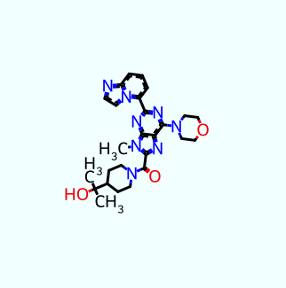 Cn1c(C(=O)N2CCC(C(C)(C)O)CC2)nc2c(N3CCOCC3)nc(-c3cccc4nccn34)nc21